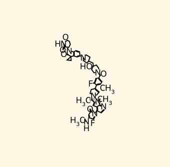 CNc1cc(=O)n(-c2ccnc3c2cc([C@H](C)N2CC=C(c4c(C)cc(C(=O)N5CCC(O)(CC6CCN(c7ccc8c(c7)C7(CC7)C(=O)N8C7CCC(=O)NC7=O)CC6)CC5)cc4F)CC2)n3C)cc1F